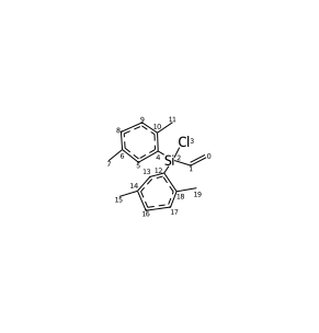 C=C[Si](Cl)(c1cc(C)ccc1C)c1cc(C)ccc1C